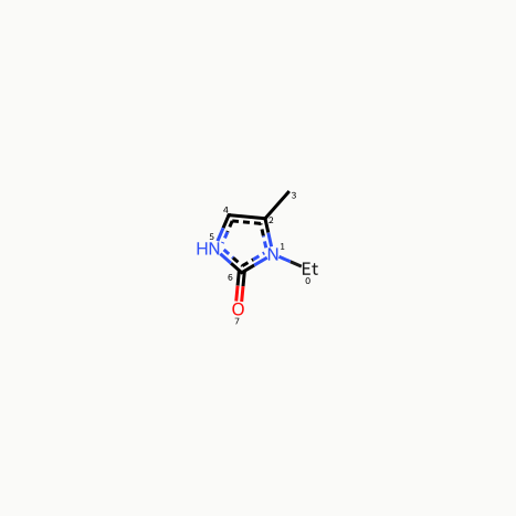 CCn1c(C)c[nH]c1=O